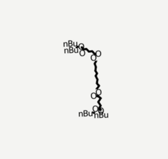 CCCCC(CCCC)OC(=O)CCCC(=O)OCCCCCCCCCCOC(=O)CCCC(=O)OC(CCCC)CCCC